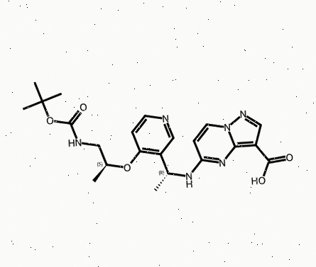 C[C@@H](CNC(=O)OC(C)(C)C)Oc1ccncc1[C@@H](C)Nc1ccn2ncc(C(=O)O)c2n1